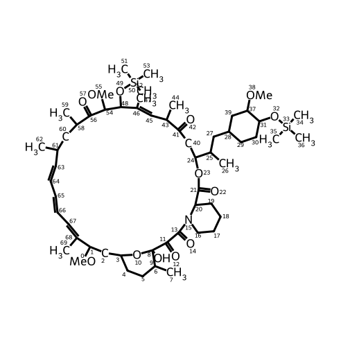 COC1CC2CCC(C)C(O)(O2)C(=O)C(=O)N2CCCCC2C(=O)OC(C(C)CC2CCC(O[Si](C)(C)C)C(OC)C2)CC(=O)C(C)/C=C(\C)C(O[Si](C)(C)C)C(OC)C(=O)C(C)CC(C)/C=C/C=C/C=C/1C